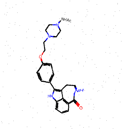 CC(=O)NN1CCN(CCOc2ccc(-c3[nH]c4cccc5c4c3CCNC5=O)cc2)CC1